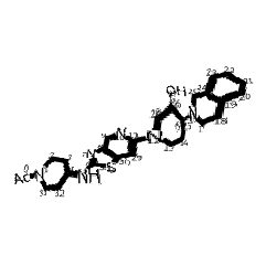 CC(=O)N1CCC(Nc2nc3cnc(N4CC[C@H](N5CCc6ccccc6C5)[C@@H](O)C4)cc3s2)CC1